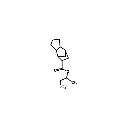 O=C(OC(CS(=O)(=O)O)C(F)(F)F)C1CC2CC1C1CCCC21